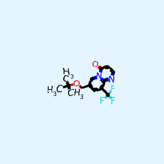 CC(C)(C)OCc1cc(C(F)(F)F)c2nccc(=O)n2c1